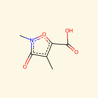 Cc1c(C(=O)O)on(C)c1=O